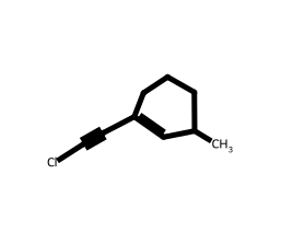 CC1C=C(C#CCl)CCC1